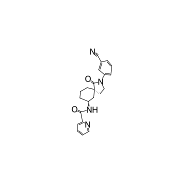 N#Cc1cccc(N2CC[C@]3(CCC[C@H](NC(=O)c4ccccn4)C3)C2=O)c1